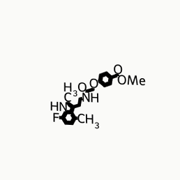 COC(=O)c1ccc(OCC(=O)NCCc2c(C)[nH]c3c(F)ccc(C)c23)cc1